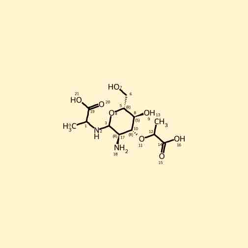 CC(NC1O[C@H](CO)[C@@H](O)[C@H](OC(C)C(=O)O)[C@H]1N)C(=O)O